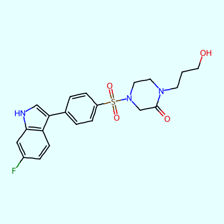 O=C1CN(S(=O)(=O)c2ccc(-c3c[nH]c4cc(F)ccc34)cc2)CCN1CCCO